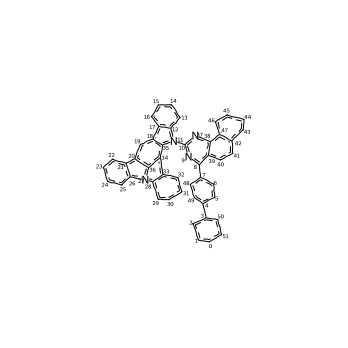 c1ccc(-c2ccc(-c3nc(-n4c5ccccc5c5cc6c7ccccc7n7c8ccccc8c(c54)c67)nc4c3ccc3ccccc34)cc2)cc1